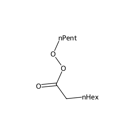 CCCCCCCC(=O)OOCCCCC